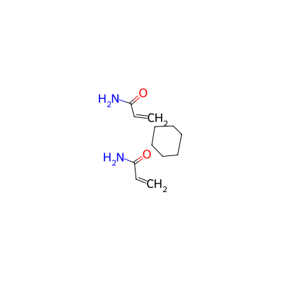 C1CCCCC1.C=CC(N)=O.C=CC(N)=O